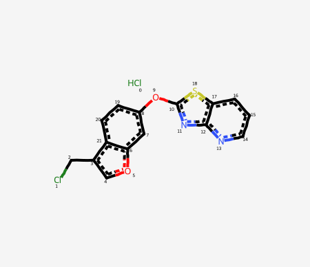 Cl.ClCc1coc2cc(Oc3nc4ncccc4s3)ccc12